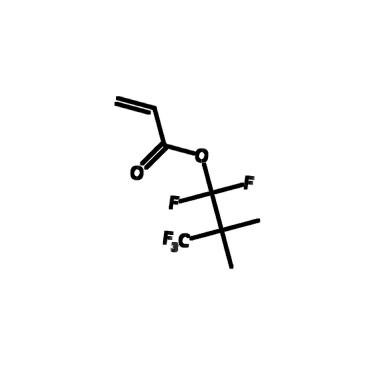 C=CC(=O)OC(F)(F)C(C)(C)C(F)(F)F